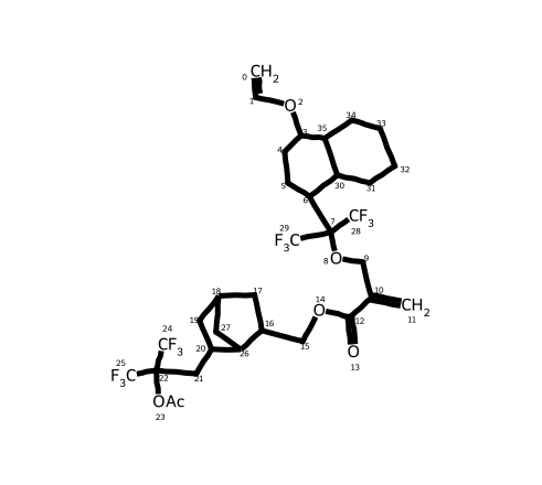 C=COC1CCC(C(OCC(=C)C(=O)OCC2CC3CC(CC(OC(C)=O)(C(F)(F)F)C(F)(F)F)C2C3)(C(F)(F)F)C(F)(F)F)C2CCCCC12